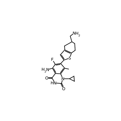 Cc1c(-c2cc3c(s2)CCC(CN)C3)c(F)c(N)c2c(=O)[nH]c(=O)n(C3CC3)c12